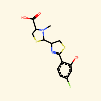 CN1C(C(=O)O)CSC1C1CSC(c2ccc(F)cc2O)=N1